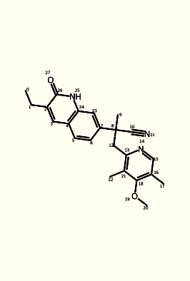 CCc1cc2ccc(C(C)(C#N)Cc3ncc(C)c(OC)c3C)cc2[nH]c1=O